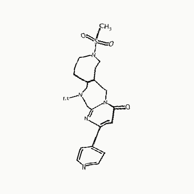 CCN1c2nc(-c3ccncc3)cc(=O)n2CC2CN(S(C)(=O)=O)CCC21